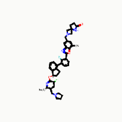 COc1nc(O[C@@H]2CCc3c(-c4cccc(-c5nc6cc(CN7CC8(CCC(=O)N8)C7)cc(C#N)c6o5)c4F)cccc32)c(Cl)cc1CN1CCCC1